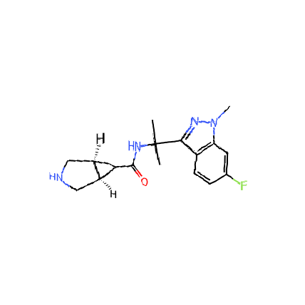 Cn1nc(C(C)(C)NC(=O)C2[C@H]3CNC[C@@H]23)c2ccc(F)cc21